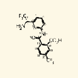 N[C@@H](c1cccc(NC(=O)c2ccc(C(F)(F)F)cc2C(=O)O)n1)C(F)(F)F